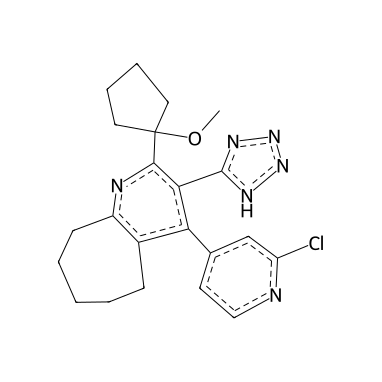 COC1(c2nc3c(c(-c4ccnc(Cl)c4)c2-c2nnn[nH]2)CCCCC3)CCCC1